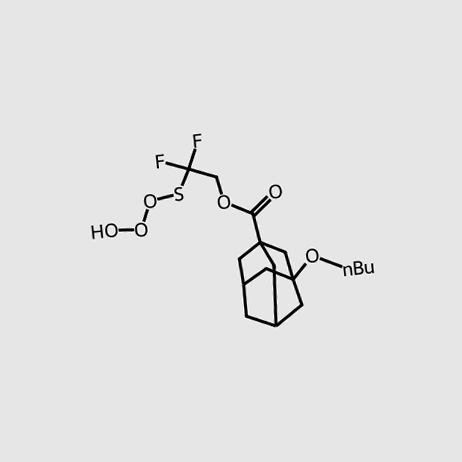 CCCCOC12CC3CC(C1)CC(C(=O)OCC(F)(F)SOOO)(C3)C2